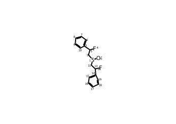 [O-][S+](CC(F)c1ccccc1)CC(F)c1ccccc1